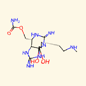 CNCC[C@H]1CC(O)(O)C23NC(=N)NC2[C@H](COC(N)=O)NC(=N)N13